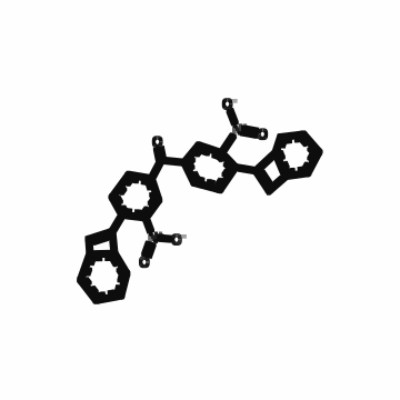 O=C(c1ccc(C2=Cc3ccccc32)c([N+](=O)[O-])c1)c1ccc(C2=Cc3ccccc32)c([N+](=O)[O-])c1